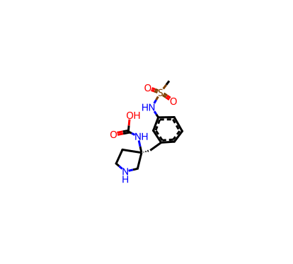 CS(=O)(=O)Nc1cccc(C[C@@]2(NC(=O)O)CCNC2)c1